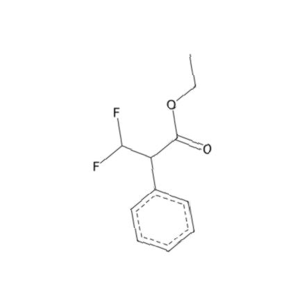 CCOC(=O)C(c1ccccc1)C(F)F